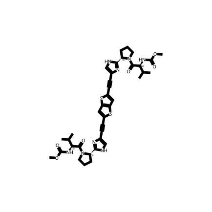 COC(=O)N[C@H](C(=O)N1CCC[C@H]1c1nc(C#Cc2cc3sc(C#Cc4c[nH]c([C@@H]5CCCN5C(=O)[C@@H](NC(=O)OC)C(C)C)n4)cc3s2)c[nH]1)C(C)C